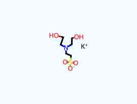 O=S(=O)([O-])CCN(CCO)CCO.[K+]